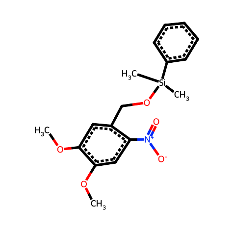 COc1cc(CO[Si](C)(C)c2ccccc2)c([N+](=O)[O-])cc1OC